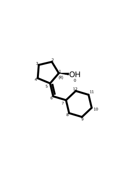 O[C@@H]1CCCC1=CC1CCCCC1